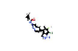 Cc1c(F)c(Cl)c2[nH]ncc2c1-c1ccn2nc(NC(=O)[C@@H]3C[C@@H]3F)cc2c1